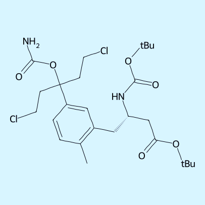 Cc1ccc(C(CCCl)(CCCl)OC(N)=O)cc1C[C@@H](CC(=O)OC(C)(C)C)NC(=O)OC(C)(C)C